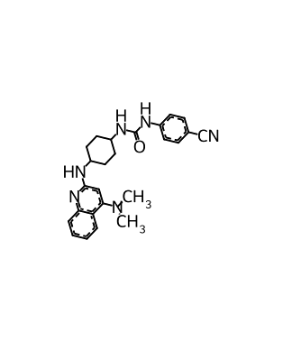 CN(C)c1cc(NC2CCC(NC(=O)Nc3ccc(C#N)cc3)CC2)nc2ccccc12